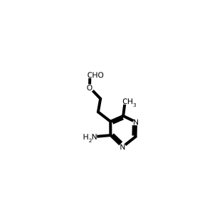 Cc1ncnc(N)c1CCOC=O